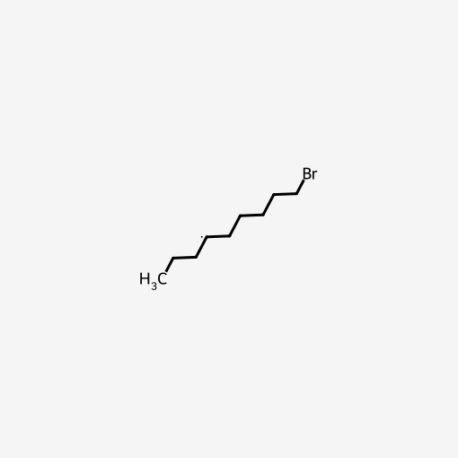 CCC[CH]CCCCCBr